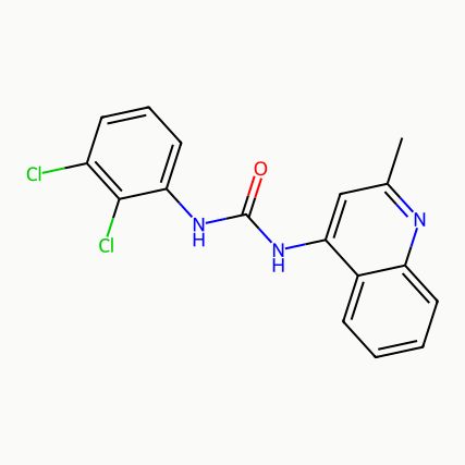 Cc1cc(NC(=O)Nc2cccc(Cl)c2Cl)c2ccccc2n1